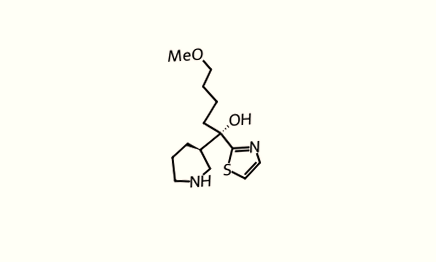 COCCCC[C@@](O)(c1nccs1)[C@@H]1CCCNC1